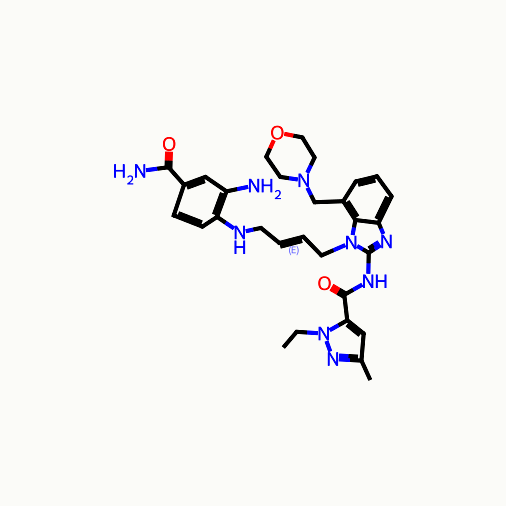 CCn1nc(C)cc1C(=O)Nc1nc2cccc(CN3CCOCC3)c2n1C/C=C/CNc1ccc(C(N)=O)cc1N